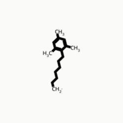 [CH2]CCCCCCc1c(C)cc(C)cc1C